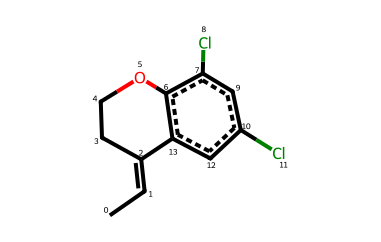 C/C=C1\CCOc2c(Cl)cc(Cl)cc21